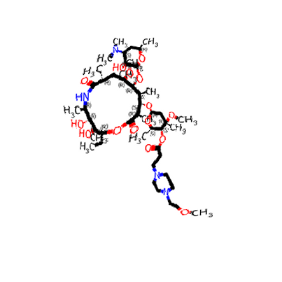 CC[C@H]1OC(=O)[C@H](C)[C@@H](O[C@H]2C[C@@](C)(OC)[C@@H](OC(=O)CCN3CCN(CCOC)CC3)[C@H](C)O2)[C@H](C)[C@@H](O[C@@H]2O[C@H](C)C[C@H](N(C)C)[C@H]2O)[C@](C)(OC)C[C@@H](C)C(=O)N[C@H](C)[C@@H](O)[C@]1(C)O